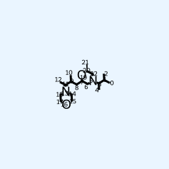 CC(C)C(C)N1CC(CC(C)C(C)N2CCOCC2)O[C@@H](C)C1